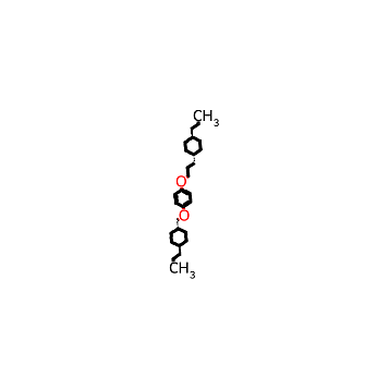 CCC[C@H]1CC[C@H](CCCOc2ccc(OC[C@H]3CC[C@H](CCC)CC3)cc2)CC1